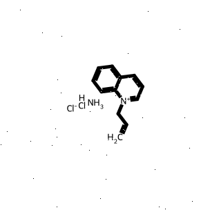 C=CC[n+]1cccc2ccccc21.Cl.N.[Cl-]